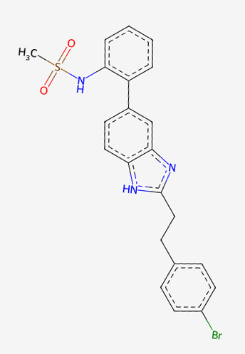 CS(=O)(=O)Nc1ccccc1-c1ccc2[nH]c(CCc3ccc(Br)cc3)nc2c1